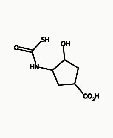 O=C(S)NC1CC(C(=O)O)CC1O